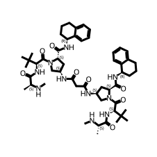 CN[C@@H](C)C(=O)N[C@H](C(=O)N1C[C@@H](NC(=O)CC(=O)N[C@H]2C[C@@H](C(=O)N[C@@H]3CCCc4ccccc43)N(C(=O)[C@@H](NC(=O)[C@H](C)NC)C(C)(C)C)C2)C[C@H]1C(=O)N[C@@H]1CCCc2ccccc21)C(C)(C)C